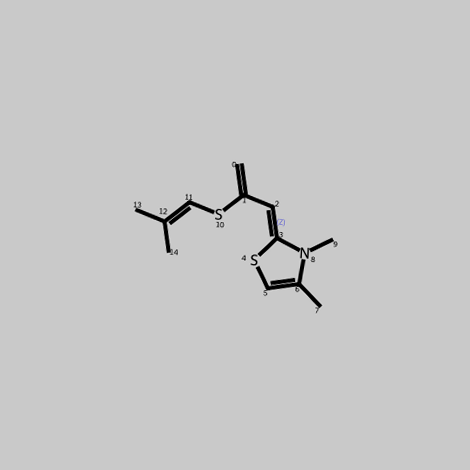 C=C(/C=C1\SC=C(C)N1C)SC=C(C)C